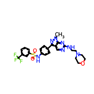 Cn1nc(-c2ccc(NS(=O)(=O)c3cccc(C(F)(F)F)c3)cc2)c2cnc(NCCN3CCOCC3)nc21